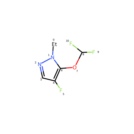 CCn1n[c]c(F)c1OC(F)F